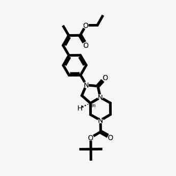 CCOC(=O)C(C)=Cc1ccc(N2C[C@@H]3CN(C(=O)OC(C)(C)C)CCN3C2=O)cc1